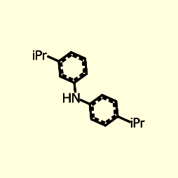 CC(C)c1ccc(Nc2cccc(C(C)C)c2)cc1